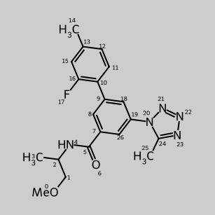 COCC(C)NC(=O)c1cc(-c2ccc(C)cc2F)cc(-n2nnnc2C)c1